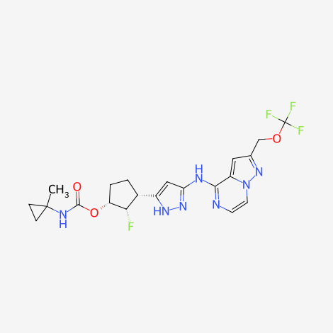 CC1(NC(=O)O[C@@H]2CC[C@H](c3cc(Nc4nccn5nc(COC(F)(F)F)cc45)n[nH]3)[C@@H]2F)CC1